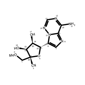 COC[C@@]1(C#N)O[C@@H](c2cnc3c(N)ncnn23)[C@H](O)[C@@H]1O